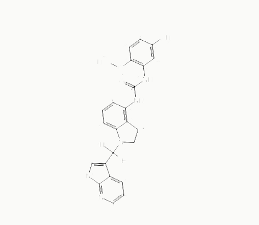 [2H]C([2H])(c1c[nH]c2ncccc12)N1CCc2c(NC(=O)Nc3cc(C)ccc3OC)cccc21